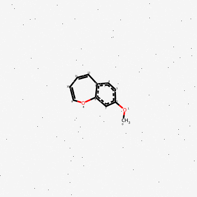 COc1ccc2c(c1)OC=CC=C2